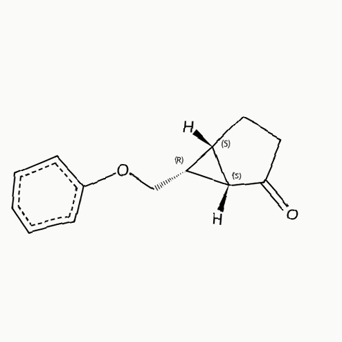 O=C1CC[C@H]2[C@@H](COc3ccccc3)[C@@H]12